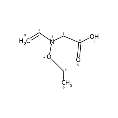 C=CN(CC(=O)O)OCC